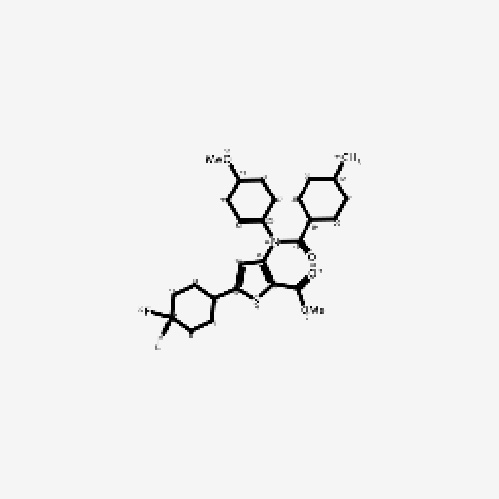 COC(=O)c1sc(C2CCC(F)(F)CC2)cc1N(C(=O)C1CCC(C)CC1)C1CCC(OC)CC1